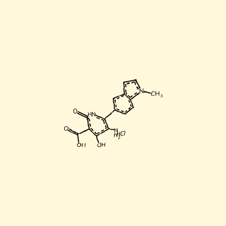 Cl.Cn1ccc2cc(-c3[nH]c(=O)c(C(=O)O)c(O)c3N)ccc21